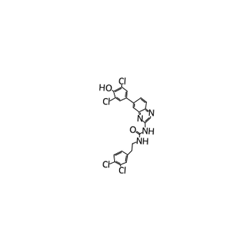 O=C(NCCc1ccc(Cl)c(Cl)c1)Nc1cnc2ccc(-c3cc(Cl)c(O)c(Cl)c3)cc2n1